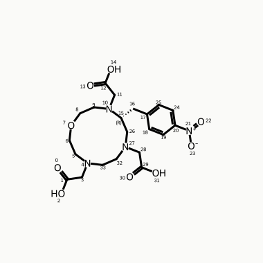 O=C(O)CN1CCOCCN(CC(=O)O)[C@H](Cc2ccc([N+](=O)[O-])cc2)CN(CC(=O)O)CC1